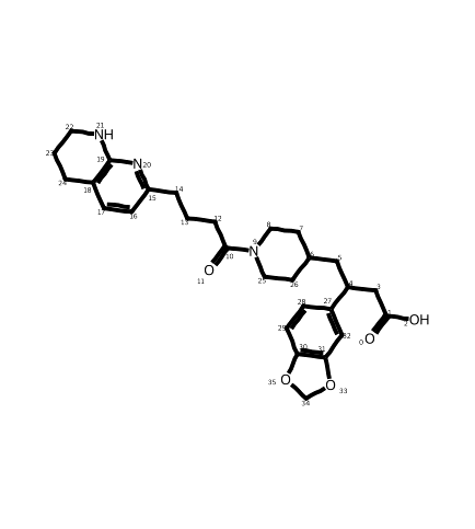 O=C(O)CC(CC1CCN(C(=O)CCCc2ccc3c(n2)NCCC3)CC1)c1ccc2c(c1)OCO2